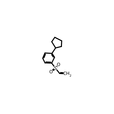 C=CS(=O)(=O)c1cccc(C2CCCC2)c1